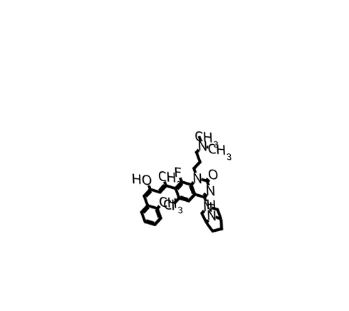 C/C(=C\C(O)=C/c1ccccc1C)c1c(Cl)cc2c(N3CC4CCC(C3)N4)nc(=O)n(CCCN(C)C)c2c1F